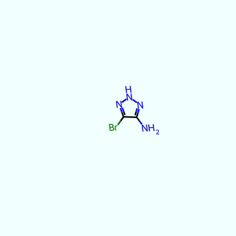 Nc1n[nH]nc1Br